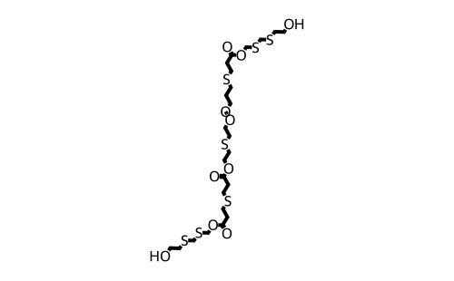 O=C(CCSCCC(=O)OCSCSCCO)OCCSCCOOCCCSCCC(=O)OCSCSCCO